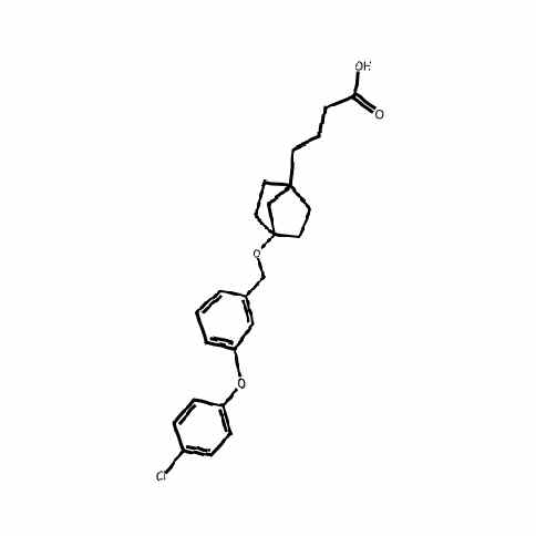 O=C(O)CCCC12CCC(OCc3cccc(Oc4ccc(Cl)cc4)c3)(CC1)C2